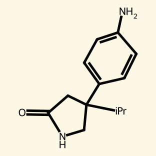 CC(C)C1(c2ccc(N)cc2)CNC(=O)C1